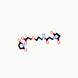 O=C(CCN1C(=O)C=CC1=O)NCCCOCCC(=O)ON1C(=O)CCC1=O